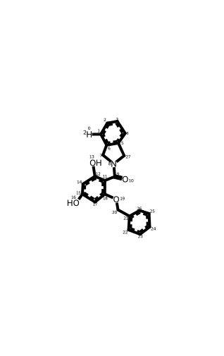 [2H]c1cccc2c1CN(C(=O)c1c(O)cc(O)cc1OCc1ccccc1)C2